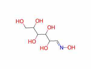 OCC(O)C(O)C(O)C(O)/C=N/O